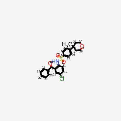 CC1(c2ccc(S(=O)(=O)Nc3ccc(Cl)cc3C(=O)c3ccccc3)cc2)CCOCC1